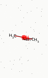 CCCCCCCCC=CCCCCCCCC(=O)C(C(=O)O)C(C(=O)O)(C(=O)CCCCCCCC=CCCCCCCCC)S(=O)(=O)O.[NaH]